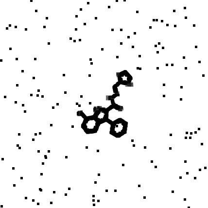 O=C(NN=Cc1ncc[nH]1)c1[nH]c2c(Cl)cccc2c1-c1ccccc1